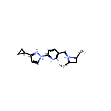 CC1CC(C)N1Cc1ccc(-n2ccc(C3CC3)n2)nc1